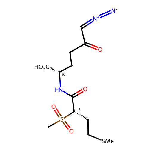 CSCC[C@@H](C(=O)N[C@@H](CCC(=O)C=[N+]=[N-])C(=O)O)S(C)(=O)=O